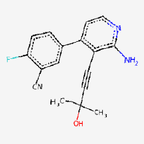 CC(C)(O)C#Cc1c(-c2ccc(F)c(C#N)c2)ccnc1N